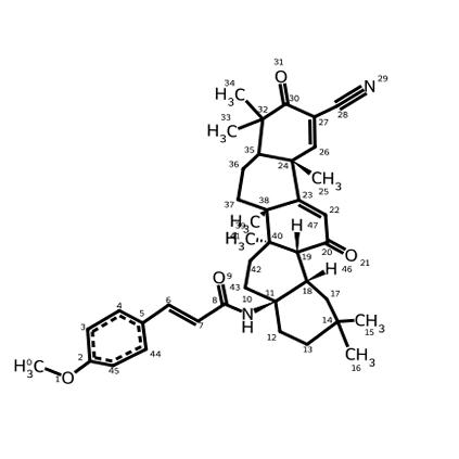 COc1ccc(/C=C/C(=O)N[C@]23CCC(C)(C)C[C@H]2[C@H]2C(=O)C=C4[C@@]5(C)C=C(C#N)C(=O)C(C)(C)C5CC[C@@]4(C)[C@]2(C)CC3)cc1